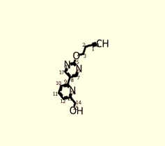 C#CCCOc1ncc(-c2cccc(CO)n2)cn1